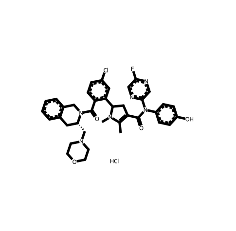 CC1=C(C(=O)N(c2ccc(O)cc2)c2cnc(F)cn2)CC(c2cc(Cl)ccc2C(=O)N2Cc3ccccc3C[C@H]2CN2CCOCC2)N1C.Cl